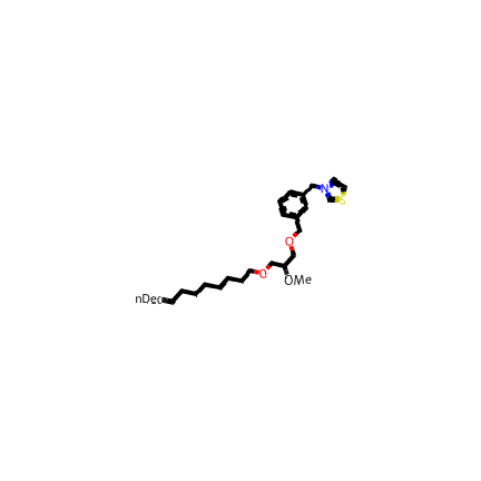 CCCCCCCCCCCCCCCCCCOCC(COCc1cccc(C[n+]2ccsc2)c1)OC